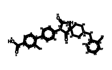 Cc1cc(C(=O)O)ccc1-c1ccc(N2C(=O)NC3(CCN(Cc4ncccc4C)CC3)C2=O)cc1